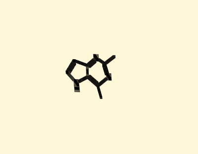 Cc1nc(C)c2[nH]ccc2n1